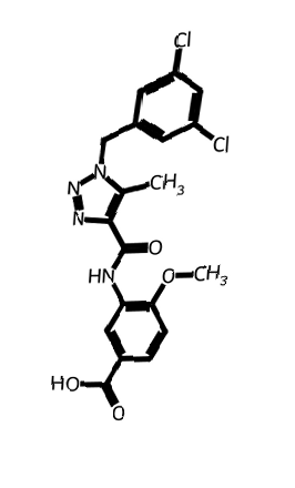 COc1ccc(C(=O)O)cc1NC(=O)c1nnn(Cc2cc(Cl)cc(Cl)c2)c1C